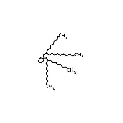 CCCCCCCCCCC(CCCCCCCC)CC1(CC(CCCCCCCC)CCCCCCCCCC)CCCC1